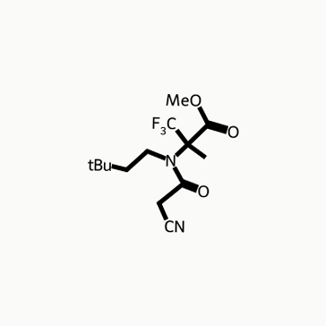 COC(=O)C(C)(N(CCC(C)(C)C)C(=O)CC#N)C(F)(F)F